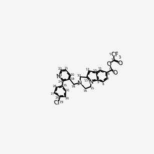 O=C(OC(=O)C(F)(F)F)c1ccc2c(c1)cc1n2CCN(Cc2cccnc2-c2ccc(Cl)cc2)C1